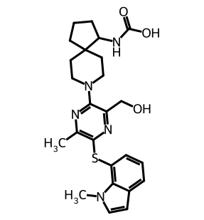 Cc1nc(N2CCC3(CCCC3NC(=O)O)CC2)c(CO)nc1Sc1cccc2ccn(C)c12